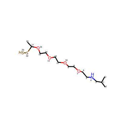 CC(C)CNCCOCCOCCOCCOC(C)SS